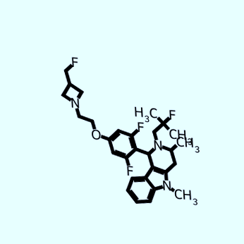 CC1Cc2c(c3ccccc3n2C)C(c2c(F)cc(OCCN3CC(CF)C3)cc2F)N1CC(C)(C)F